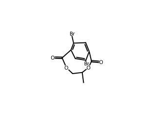 CC1COC(=O)c2cc(Br)c(cc2Br)C(=O)O1